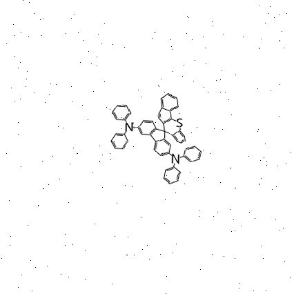 c1ccc(N(c2ccccc2)c2ccc3c(c2)-c2ccc(N(c4ccccc4)c4ccccc4)cc2C32c3ccccc3Sc3c2ccc2ccccc32)cc1